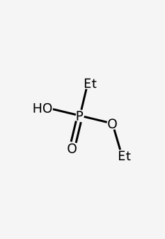 [CH2]CP(=O)(O)OCC